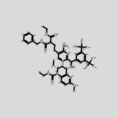 CCOC(=O)C(CCc1cnc(C(N[C@H]2C[C@@H](CC)N(C(=O)OCC)c3ccc(OC)nc32)c2cc(C(F)(F)F)cc(C(F)(F)F)c2)nc1N)C(=O)OCc1ccccc1